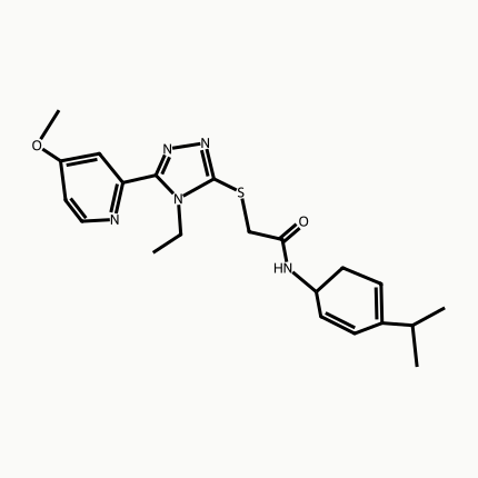 CCn1c(SCC(=O)NC2C=CC(C(C)C)=CC2)nnc1-c1cc(OC)ccn1